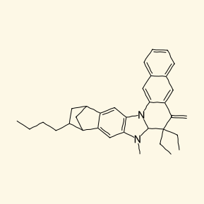 C=C1c2cc3ccccc3cc2N2c3cc4c(cc3N(C)C2C1(CC)CC)C1CC4CC1CCCC